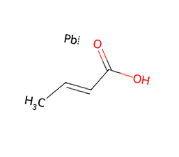 CC=CC(=O)O.[Pb]